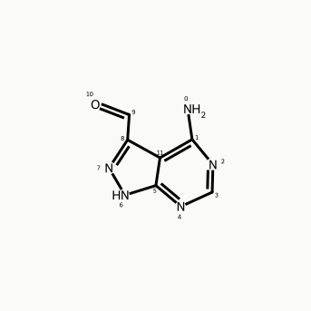 Nc1ncnc2[nH]nc(C=O)c12